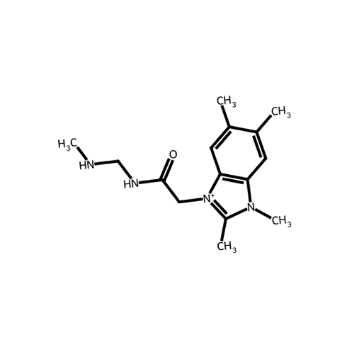 CNCNC(=O)C[n+]1c(C)n(C)c2cc(C)c(C)cc21